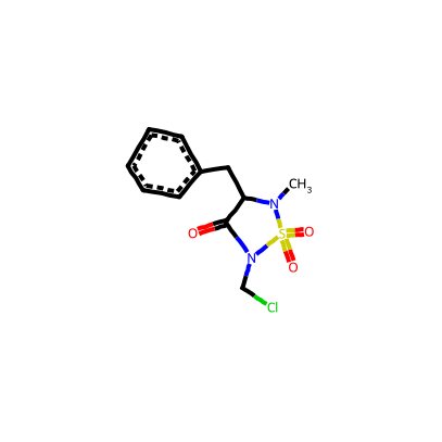 CN1C(Cc2ccccc2)C(=O)N(CCl)S1(=O)=O